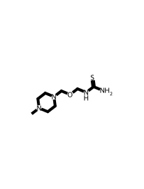 CN1CCN(COCNC(N)=S)CC1